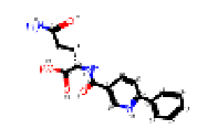 NC(=O)CC[C@H](NC(=O)c1ccc(-c2ccccc2)nc1)C(=O)O